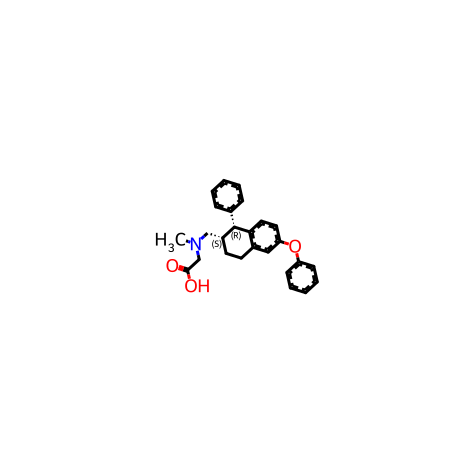 CN(CC(=O)O)C[C@H]1CCc2cc(Oc3ccccc3)ccc2[C@H]1c1ccccc1